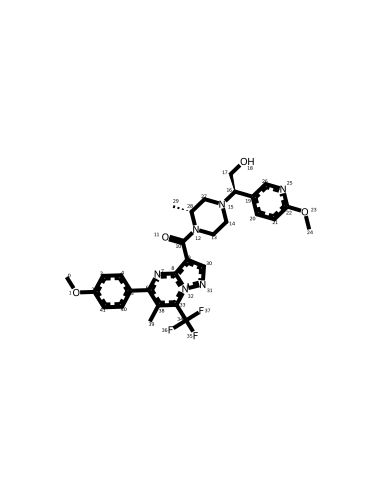 COc1ccc(-c2nc3c(C(=O)N4CCN([C@@H](CO)c5ccc(OC)nc5)C[C@H]4C)cnn3c(C(F)(F)F)c2C)cc1